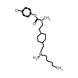 CCCCCN(C)CCC1CCC(CCN(C)C(=O)Oc2ccc(Cl)cc2)CC1